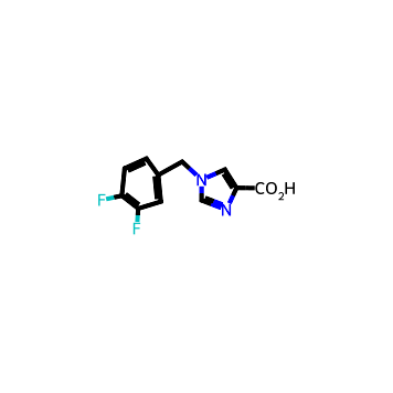 O=C(O)c1cn(Cc2ccc(F)c(F)c2)cn1